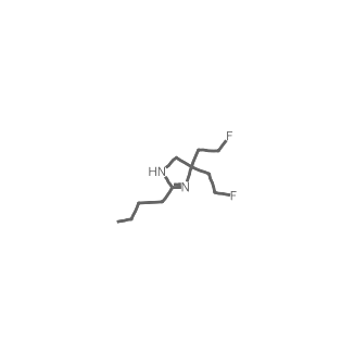 CCCCC1=NC(CCF)(CCF)CN1